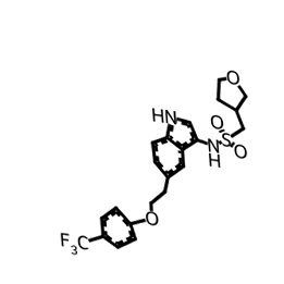 O=S(=O)(CC1CCOC1)Nc1c[nH]c2ccc(CCOc3ccc(C(F)(F)F)cc3)cc12